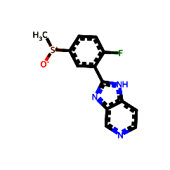 C[S+]([O-])c1ccc(F)c(-c2nc3cnccc3[nH]2)c1